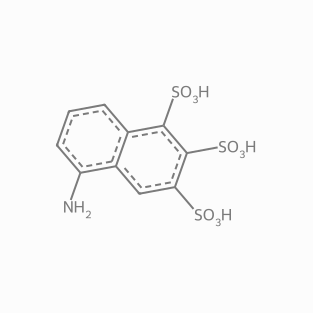 Nc1cccc2c(S(=O)(=O)O)c(S(=O)(=O)O)c(S(=O)(=O)O)cc12